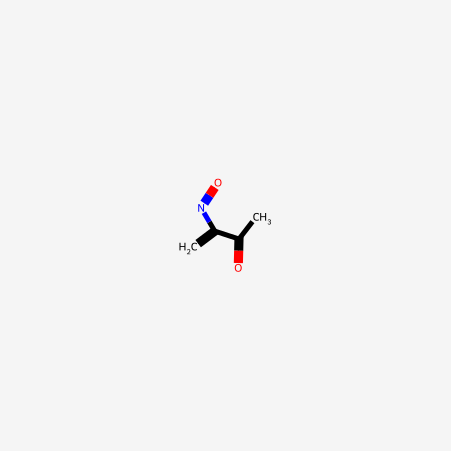 C=C(N=O)C(C)=O